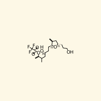 C=C(OS(=O)(=O)C(F)(F)F)C(C)C[C@H](O)CC[C@@H]1O[C@@H](CCCO)CC1=C